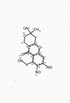 CC1(N=O)Cc2oc3cc(N=O)c(N=O)c(CN=O)c3c(=O)c2CO1